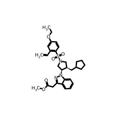 C=Cc1cc(OCC)ccc1S(=O)(=O)N1C[C@@H](CC2CCCC2)[C@@H](n2nc(CC(=O)OC)c3ccccc32)C1